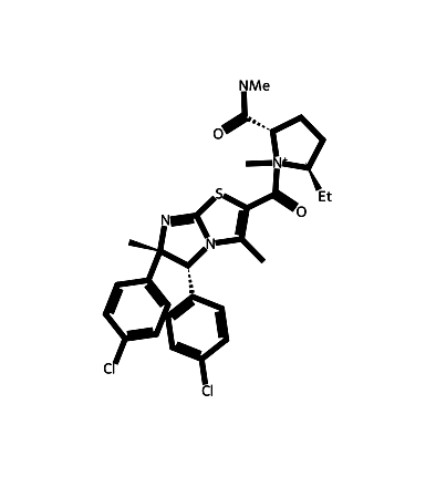 CC[C@@H]1CC[C@@H](C(=O)NC)[N+]1(C)C(=O)C1=C(C)N2C(=N[C@@](C)(c3ccc(Cl)cc3)[C@H]2c2ccc(Cl)cc2)S1